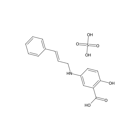 O=C(O)c1cc(NCC=Cc2ccccc2)ccc1O.O=S(=O)(O)O